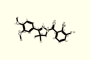 COc1ccc(C2=NN(C(=O)c3cccc(F)c3Br)CC2(C)C)cc1OC